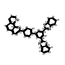 c1cnc2c(c1)ccc1ccc(-c3ccc(-c4cc(-c5nc6ccccc6s5)cc(-c5nc6ccccc6s5)c4)cc3)nc12